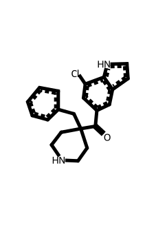 O=C(c1cc(Cl)c2[nH]ccc2c1)C1(Cc2ccccc2)CCNCC1